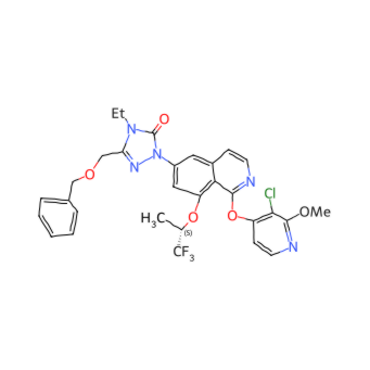 CCn1c(COCc2ccccc2)nn(-c2cc(O[C@@H](C)C(F)(F)F)c3c(Oc4ccnc(OC)c4Cl)nccc3c2)c1=O